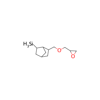 [SiH3]C1CC2CC(COCC3CO3)C1C2